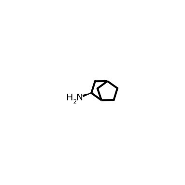 N[C@H]1CC2CCC1C2